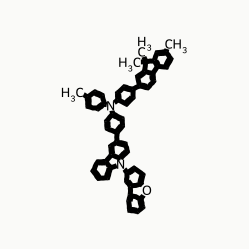 Cc1ccc(N(c2ccc(-c3ccc4c(c3)C(C)(C)c3cc(C)ccc3-4)cc2)c2ccc(-c3ccc4c(c3)c3ccccc3n4-c3ccc4oc5ccccc5c4c3)cc2)cc1